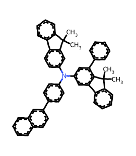 CC1(C)c2ccccc2-c2ccc(N(c3ccc(-c4ccc5ccccc5c4)cc3)c3cc(-c4ccccc4)c4c(c3)-c3ccccc3C4(C)C)cc21